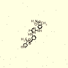 Cc1ccc(Nc2ncc(F)c(NC3=CC(=CS(=O)(=O)N(C)C4CCNCC4)CC=C3)n2)cc1S(N)(=O)=O